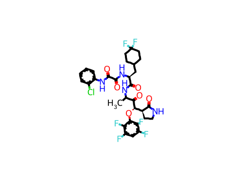 CC(NC(=O)[C@H](CC1CCC(F)(F)CC1)NC(=O)C(=O)Nc1ccccc1Cl)C(=O)[C@@H](Oc1c(F)c(F)cc(F)c1F)[C@@H]1CCNC1=O